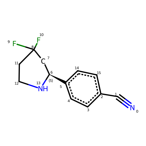 N#Cc1ccc([C@@H]2CC(F)(F)CCN2)cc1